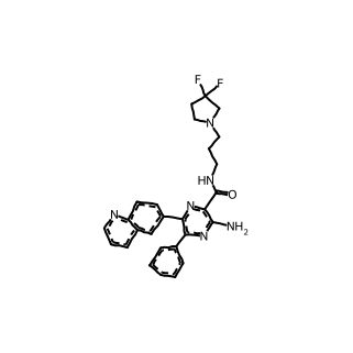 Nc1nc(-c2ccccc2)c(-c2ccc3ncccc3c2)nc1C(=O)NCCCN1CCC(F)(F)C1